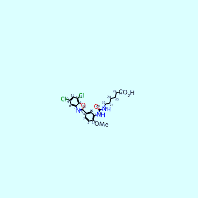 COc1ccc(-c2nc3cc(Cl)cc(Cl)c3o2)cc1NC(=O)NCCCCCC(=O)O